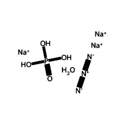 O.O=P(O)(O)O.[N-]=[N+]=[N-].[Na+].[Na+].[Na+]